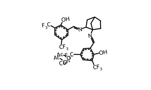 CC(=O)[O-].CC(=O)[O-].Oc1c(C=NC2CC3CCC2(N=Cc2cc(C(F)(F)F)cc(C(F)(F)F)c2O)C3)cc(C(F)(F)F)cc1C(F)(F)F.[Co+2]